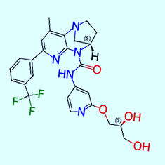 Cc1cc(-c2cccc(C(F)(F)F)c2)nc2c1N1CC[C@@H](C1)N2C(=O)Nc1ccnc(OC[C@@H](O)CO)c1